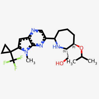 CC(C)O[C@@H]1CCCC(c2cnc3cc(C4(C(F)(F)F)CC4)n(C)c3n2)N[C@H]1CO